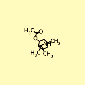 CC(=O)OC1CC2(C)CCC1C(C)(C)N2